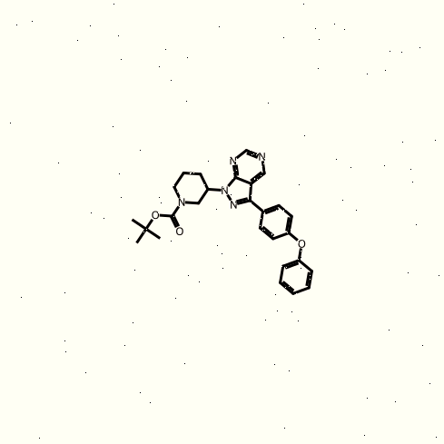 CC(C)(C)OC(=O)N1CCCC(n2nc(-c3ccc(Oc4ccccc4)cc3)c3cncnc32)C1